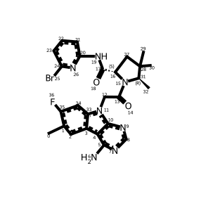 Cc1cc2c3c(N)ncnc3n(CC(=O)N3[C@H](C(=O)Nc4cccc(Br)n4)CC(C)(C)[C@H]3C)c2cc1F